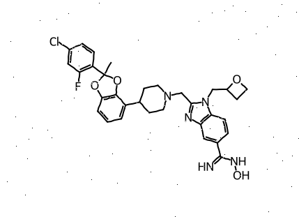 CC1(c2ccc(Cl)cc2F)Oc2cccc(C3CCN(Cc4nc5cc(C(=N)NO)ccc5n4CC4CCO4)CC3)c2O1